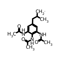 [CH2]C(C)Cc1cc(NC(C)=O)c(NC(C)=O)c(NC(C)=O)c1